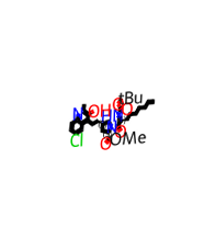 C=CCCCCC[C@H](NC(=O)OC(C)(C)C)C(=O)N1C[C@H](CCc2c(O)c(C)nc3ccc(Cl)cc23)C[C@H]1C(=O)OC